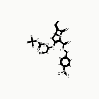 CC=C1C(=O)N2C(C(=O)OCc3ccc([N+](=O)[O-])cc3)=C(SC(CBr)NC(=O)OC(C)(C)C)CC12